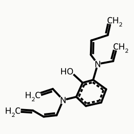 C=C/C=C\N(C=C)c1cccc(N(C=C)/C=C\C=C)c1O